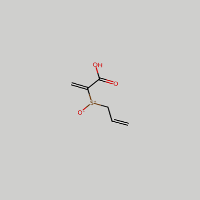 C=CC[S+]([O-])C(=C)C(=O)O